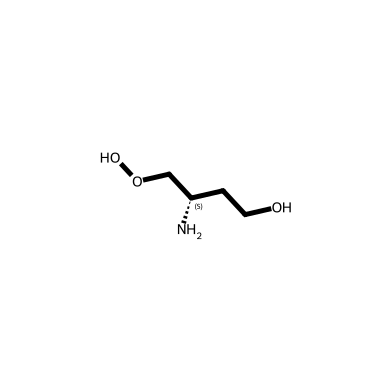 N[C@@H](CCO)COO